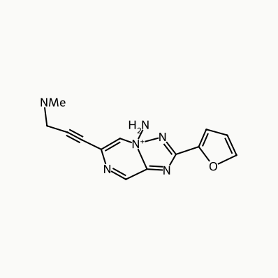 CNCC#CC1=C[N+]2(N)N=C(c3ccco3)N=C2C=N1